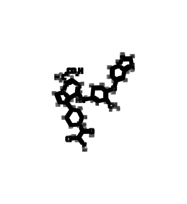 CC(=O)O.Cc1cc(Nc2ncnn3ccc(C4CCN(C(=O)C(F)Cl)CC4)c23)ccc1Oc1ccn2ncnc2c1